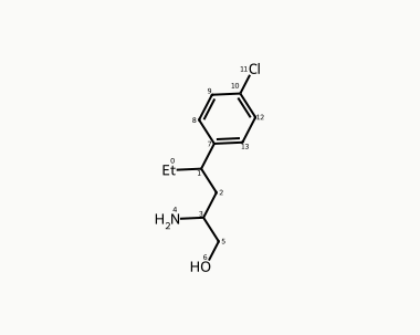 CCC(CC(N)CO)c1ccc(Cl)cc1